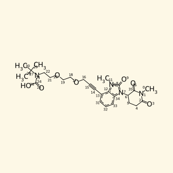 CN1C(=O)CCC(n2c(=O)n(C)c3c(C#CCOCCOCCN(C(=O)O)C(C)(C)C)cccc32)C1=O